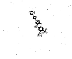 CCNc1nc(Nc2cn([C@H]3C[C@@H](c4cocn4)C3)nc2C)ncc1C(F)(F)F